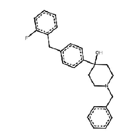 OC1(c2ccc(Cc3ccccc3F)cc2)CCN(Cc2ccccc2)CC1